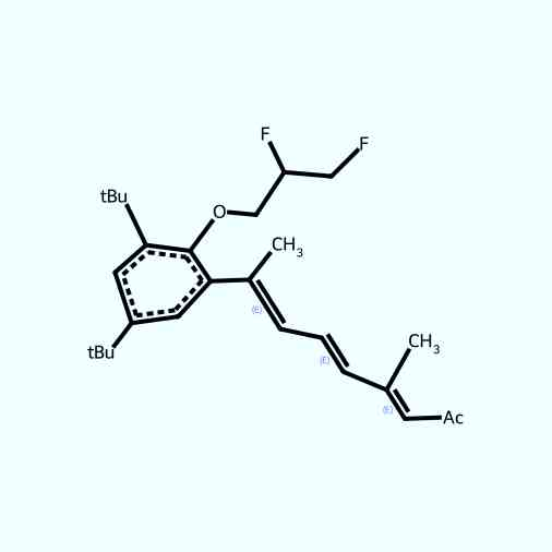 CC(=O)/C=C(C)/C=C/C=C(\C)c1cc(C(C)(C)C)cc(C(C)(C)C)c1OCC(F)CF